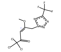 CO/C(=C/C(=O)C(Cl)(Cl)Cl)Cn1nnc(C(F)(F)F)n1